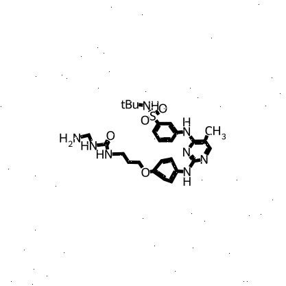 Cc1cnc(Nc2ccc(OCCCNC(=O)NCN)cc2)nc1Nc1cccc(S(=O)(=O)NC(C)(C)C)c1